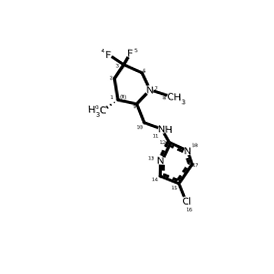 C[C@@H]1CC(F)(F)CN(C)C1CNc1ncc(Cl)cn1